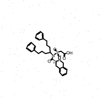 O=C(O)CS(=O)(=O)N(C(=O)[C@@H]1Cc2ccccc2CN1)C(CCCc1ccccc1)CCCc1ccccc1